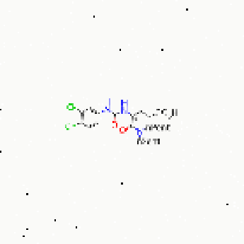 CCCCCN(CCCCC)C(=O)[C@H](CCC(=O)O)NC(=O)Nc1ccc(Cl)c(Cl)c1